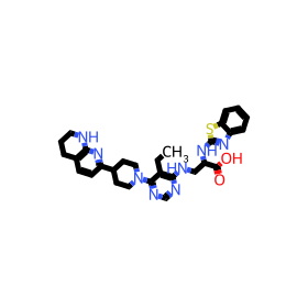 CCc1c(NCC(Nc2nc3ccccc3s2)C(=O)O)ncnc1N1CCC(c2ccc3c(n2)NCCC3)CC1